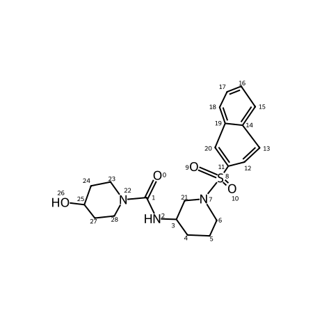 O=C(NC1CCCN(S(=O)(=O)c2ccc3ccccc3c2)C1)N1CCC(O)CC1